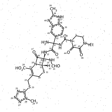 CCN1CCN(C(=O)NC(N)(C(=O)N[C@]2(NC=O)C(=O)N3C(C(=O)O)=C(CSc4nnnn4C)CS[C@H]32)c2ccc3[nH]c(C)nc3c2)C(=O)C1=O